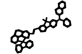 CC1(C)c2cc(/C=C/c3cc4c5c(ccc6cccc(c65)C45c4ccccc4-c4ccccc45)c3)ccc2-c2ccc(N(c3ccccc3)c3ccc4ccccc4c3)cc21